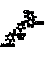 CNC(=O)c1cccc(NC(C(=O)N2CC[C@@H](Oc3ncc(OC)c4ccc(Cl)cc34)C2)C(C)(C)C)c1